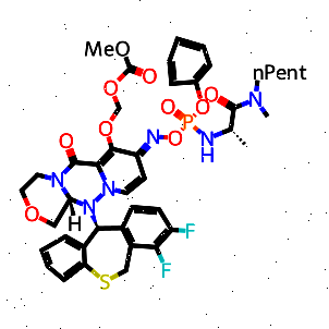 CCCCCN(C)C(=O)[C@H](C)NP(=O)(O/N=c1\ccn2c(c1OCOC(=O)OC)C(=O)N1CCOC[C@H]1N2[C@@H]1c2ccccc2SCc2c1ccc(F)c2F)Oc1ccccc1